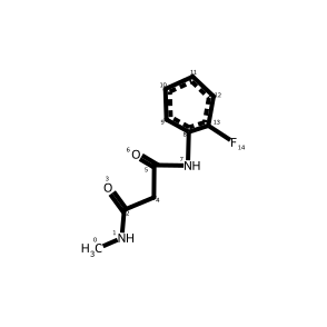 CNC(=O)CC(=O)Nc1ccccc1F